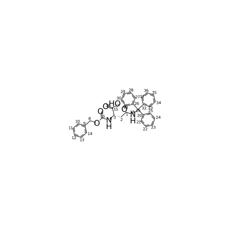 O=C(C[C@H](NC(=O)OCc1ccccc1)C(=O)O)NC(c1ccccc1)(c1ccccc1)c1ccccc1